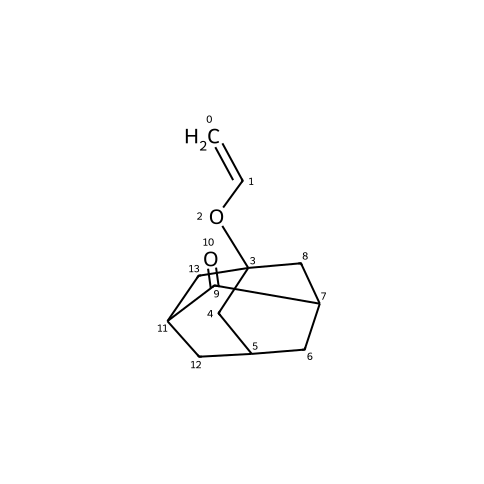 C=COC12CC3CC(C1)C(=O)C(C3)C2